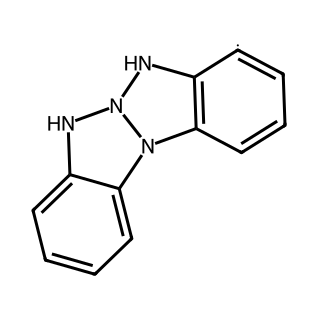 [c]1cccc2c1NN1Nc3ccccc3N21